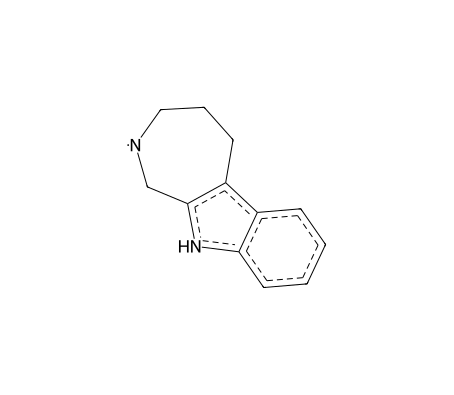 c1ccc2c3c([nH]c2c1)C[N]CCC3